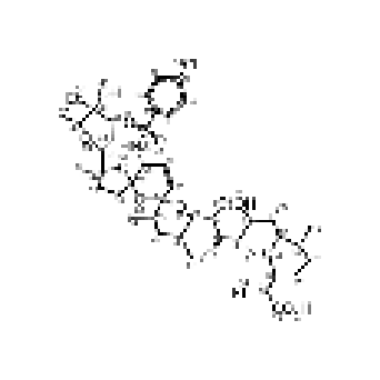 CCC(C(=O)[C@@H](C)[C@@H](O)[C@H](C)[C@@H]1O[C@@H]([C@@H](CC)C(=O)O)CC[C@@H]1C)[C@H]1O[C@]2(C=C[C@@H](NS(=O)(=O)c3ccc(Cl)cc3)[C@]3(CC[C@@](C)([C@H]4CC[C@](O)(CC)[C@H](C)O4)O3)O2)[C@H](C)C[C@@H]1C